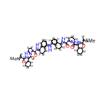 CN[C@@H](C)C(=O)N[C@H](C(=O)N1CCC[C@H]1C(=O)N[C@@H]1CCCc2c(Nc3cccc4c3CCC[C@H]4NC(=O)[C@@H]3CCCN3C(=O)[C@@H](NC(=O)[C@H](C)NC)C3CCCCC3)cccc21)C1CCCCC1